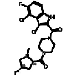 CN1C[C@H](F)C[C@@H]1C(=O)N1CCN(C(=O)c2[nH]c3ccc(F)c(Cl)c3c2Cl)CC1